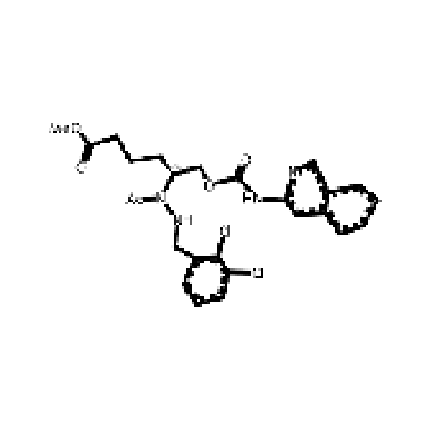 COC(=O)CCC[C@@H](COC(=O)Nc1cc2ccccc2cn1)N(NCc1cccc(Cl)c1Cl)C(C)=O